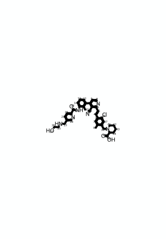 Cc1cc(C=Cc2nccc(-c3cccc(NC(=O)c4ccc(CNCCO)cn4)c3C)c2C#N)c(Cl)cc1CN1CCCCC1C(=O)O